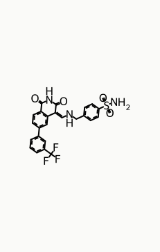 NS(=O)(=O)c1ccc(CNC=C2C(=O)NC(=O)c3ccc(-c4cccc(C(F)(F)F)c4)cc32)cc1